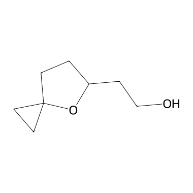 OCCC1CCC2(CC2)O1